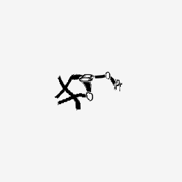 CC(C)OB1CC(C)(C)C(C)(C)O1